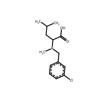 CC(C)CC(C(=O)O)N(C)Cc1cccc(Cl)c1